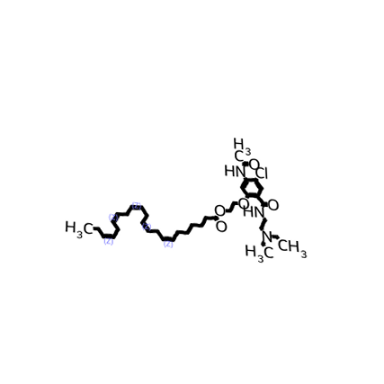 CC/C=C\C/C=C\C/C=C\C/C=C\C/C=C\CCCCCC(=O)OCCOc1cc(NC(C)=O)c(Cl)cc1C(=O)NCCN(CC)CC